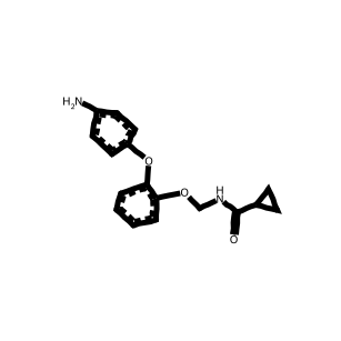 Nc1ccc(Oc2ccccc2OCNC(=O)C2CC2)cc1